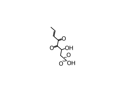 CC=CC(=O)C(=O)C(O)CS(=O)(=O)O